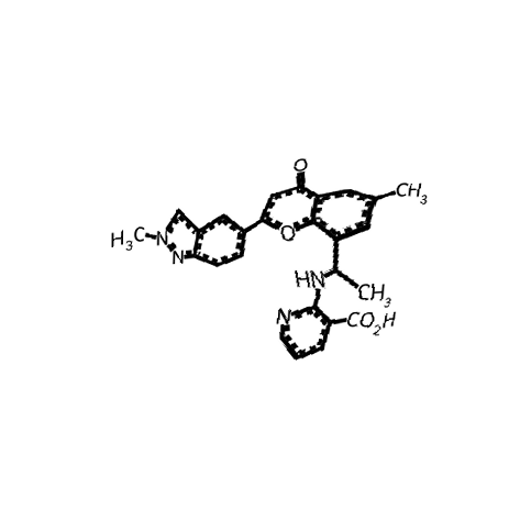 Cc1cc(C(C)Nc2ncccc2C(=O)O)c2oc(-c3ccc4nn(C)cc4c3)cc(=O)c2c1